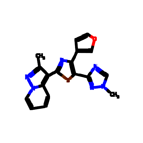 Cc1nn2ccccc2c1-c1nc(-c2ccoc2)c(-c2ncn(C)n2)s1